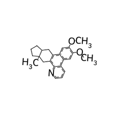 COc1cc2c3c(c4ncccc4c2cc1OC)CC1(C)CCCC1C3